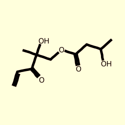 C=CC(=O)C(C)(O)COC(=O)CC(C)O